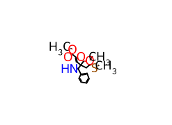 COC(=O)/C=C/C(CCSC)(C(=N)c1ccccc1)C(=O)OC